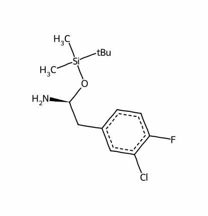 CC(C)(C)[Si](C)(C)O[C@H](N)Cc1ccc(F)c(Cl)c1